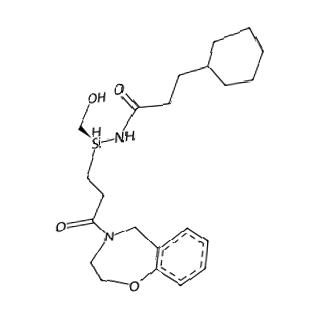 O=C(CCC1CCCCC1)N[Si@H](CO)CCC(=O)N1CCOc2ccccc2C1